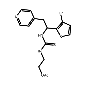 CC(=O)OCCNC(=S)NC(Cc1ccncc1)c1sccc1Br